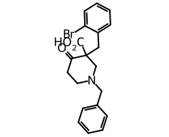 O=C(O)C1(Cc2ccccc2Br)CN(Cc2ccccc2)CCC1=O